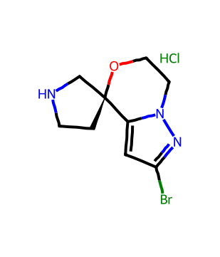 Brc1cc2n(n1)CCO[C@]21CCNC1.Cl